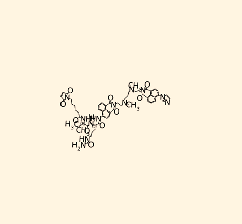 CC(C)[C@H](NC(=O)CCCCCN1C(=O)C=CC1=O)C(=O)N[C@@H](CCCNC(N)=O)C(=O)Nc1ccc2c3c(cccc13)C(=O)N(CCN(C)CCCN(C)CCN1C(=O)c3cccc4c(-n5ccnc5)ccc(c34)C1=O)C2=O